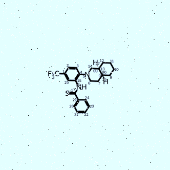 FC(F)(F)c1ccc(N2CC[C@H]3CCCC[C@@H]3C2)c(NC(=S)c2ccccc2)c1